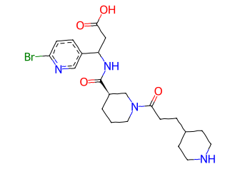 O=C(O)CC(NC(=O)[C@@H]1CCCN(C(=O)CCC2CCNCC2)C1)c1ccc(Br)nc1